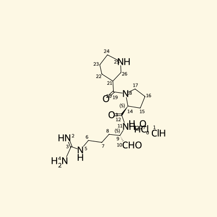 Cl.Cl.N=C(N)NCCC[C@@H](C=O)NC(=O)[C@@H]1CCCN1C(=O)C1CCCNC1.O